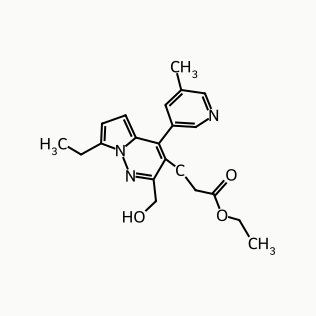 CCOC(=O)CCc1c(CO)nn2c(CC)ccc2c1-c1cncc(C)c1